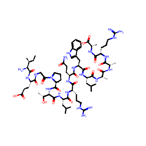 CC[C@H](C)[C@H](N)C(=O)N[C@@H](CCC(=O)O)C(=O)NCC(=O)N1CCC[C@H]1C(=O)N[C@H](C(=O)N[C@@H](CC(C)C)C(=O)N[C@@H](CCCNC(=N)N)C(=O)N[C@@H](CCC(N)=O)C(=O)N[C@@H](Cc1c[nH]c2ccccc12)C(=O)N[C@@H](CC(C)C)C(=O)N[C@@H](C)C(=O)N[C@@H](C)C(=O)N[C@@H](CCCNC(=N)N)C(=O)N[C@@H](C)C(=O)O)[C@@H](C)O